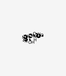 COc1ccc(NC(=O)N2CCN(c3ccnc4c3cnn4C)[C@@H](CCO)C2)c(C)n1